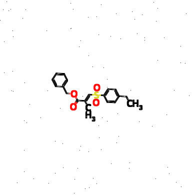 CCc1ccc(S(=O)(=O)/C=C(\C)C(=O)OCc2ccccc2)cc1